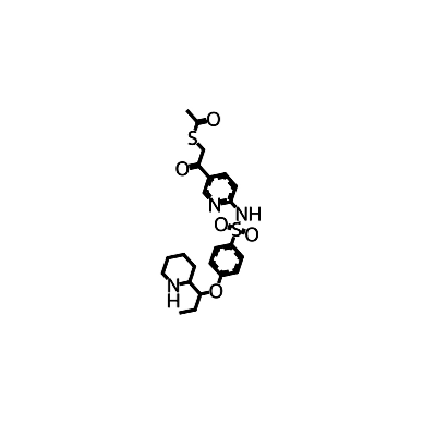 CCC(Oc1ccc(S(=O)(=O)Nc2ccc(C(=O)CSC(C)=O)cn2)cc1)C1CCCCN1